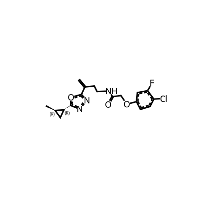 C=C(CCNC(=O)COc1ccc(Cl)c(F)c1)c1nnc([C@@H]2C[C@H]2C)o1